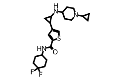 O=C(NC1CCC(F)(F)CC1)c1cc(C2CC2NC2CCN(C3CC3)CC2)cs1